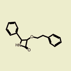 O=C1NC(c2ccccc2)C1OCCc1ccccc1